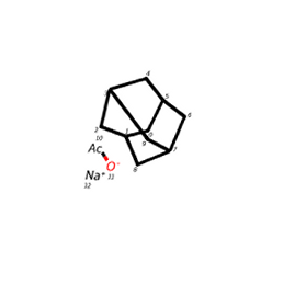 C1C2CC3CC1CC(C2)C3.CC(=O)[O-].[Na+]